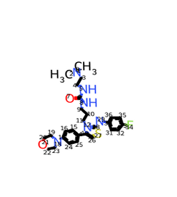 CN(C)CCNC(=O)NCCCn1c(-c2ccc(N3CCOCC3)cc2)csc1=Nc1ccc(F)cc1